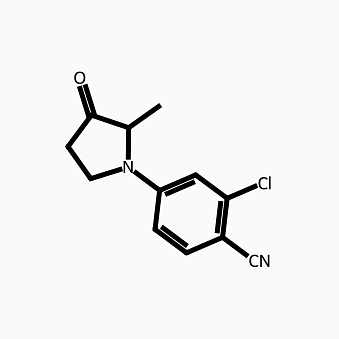 CC1C(=O)CCN1c1ccc(C#N)c(Cl)c1